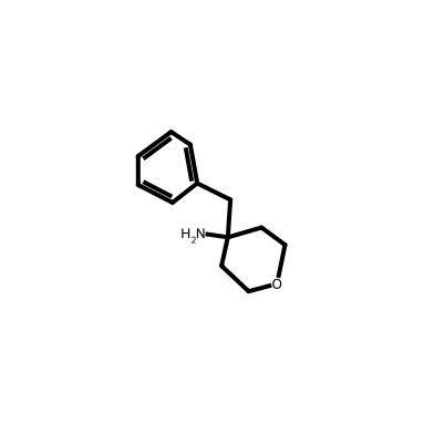 NC1(Cc2ccccc2)CCOCC1